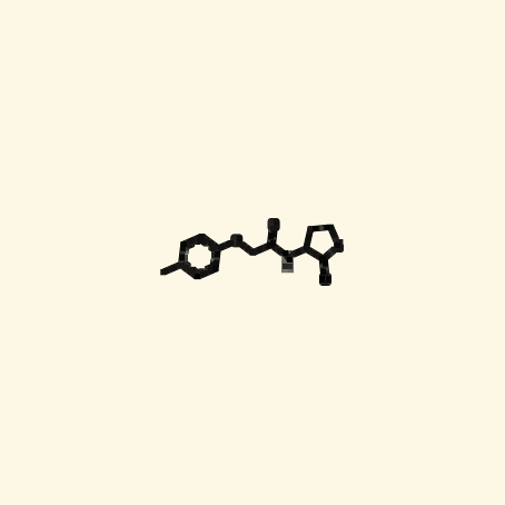 Cc1ccc(OCC(=O)NC2CCSC2=O)cc1